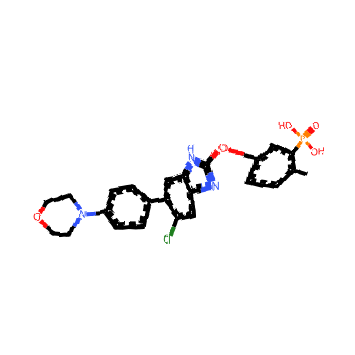 Cc1ccc(Oc2nc3cc(Cl)c(-c4ccc(N5CCOCC5)cc4)cc3[nH]2)cc1P(=O)(O)O